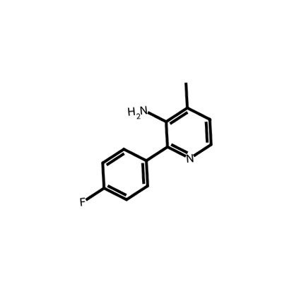 Cc1ccnc(-c2ccc(F)cc2)c1N